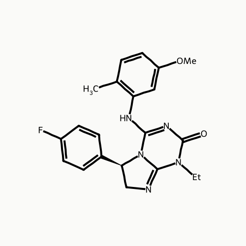 CCN1C(=O)N=C(Nc2cc(OC)ccc2C)N2C1=NC[C@H]2c1ccc(F)cc1